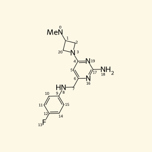 CNC1CN(c2cc(CNc3ccc(F)cc3)nc(N)n2)C1